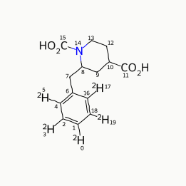 [2H]c1c([2H])c([2H])c(CC2CC(C(=O)O)CCN2C(=O)O)c([2H])c1[2H]